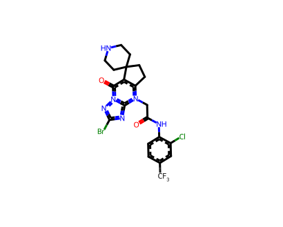 O=C(Cn1c2c(c(=O)n3nc(Br)nc13)C1(CCNCC1)CC2)Nc1ccc(C(F)(F)F)cc1Cl